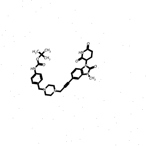 Cn1c(=O)n(C2CCC(=O)NC2=O)c2ccc(C#CCN3CCN(Cc4ccc(NC(=O)OC(C)(C)C)cc4)CC3)cc21